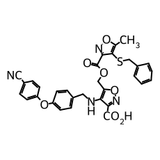 Cc1onc(C(=O)OCc2onc(C(=O)O)c2NCc2ccc(Oc3ccc(C#N)cc3)cc2)c1SCc1ccccc1